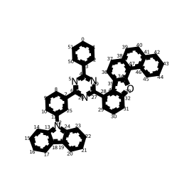 c1ccc(-c2nc(-c3cccc(-n4c5ccccc5c5ccccc54)c3)nc(-c3cccc4oc5c(ccc6ccc7ccccc7c65)c34)n2)cc1